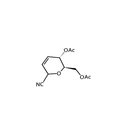 CC(=O)OC[C@H]1OC(C#N)C=C[C@@H]1OC(C)=O